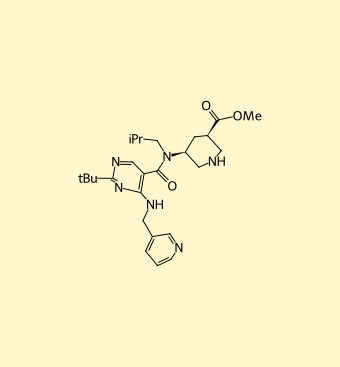 COC(=O)[C@H]1CNC[C@@H](N(CC(C)C)C(=O)c2cnc(C(C)(C)C)nc2NCc2cccnc2)C1